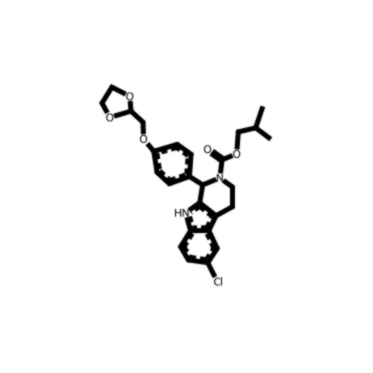 CC(C)COC(=O)N1CCc2c([nH]c3ccc(Cl)cc23)C1c1ccc(OCC2OCCO2)cc1